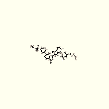 CC(C)CC(=O)Nc1cncc(-c2ccc3[nH]nc(-c4cc5c(-c6cc(F)cc(OCCN(C)C)c6)ccnc5[nH]4)c3n2)c1